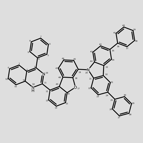 C1=CC2=C(c3ccccc3)N=C(c3cccc4oc5c(-n6c7ccc(-c8ccccc8)cc7c7cc(-c8ccccc8)ccc76)cccc5c34)NC2C=C1